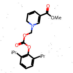 COC(=O)C1=CN(COC(=O)Oc2c(C(C)C)cccc2C(C)C)CC=C1